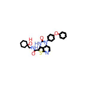 O=C(NCC1(O)CCCCC1)c1sc2nccc3c2c1NC(=O)N3c1ccc(Oc2ccccc2)cc1